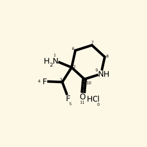 Cl.NC1(C(F)F)CCCNC1=O